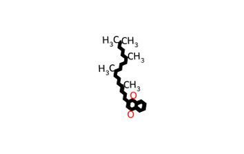 C/C(=C\CCC1=CC(=O)c2ccccc2C1=O)CCC[C@@H](C)CCC[C@@H](C)CCCC(C)C